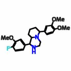 COc1cc(C2NCCN3C(c4ccc(OC)c(OC)c4)CCCC23)ccc1F